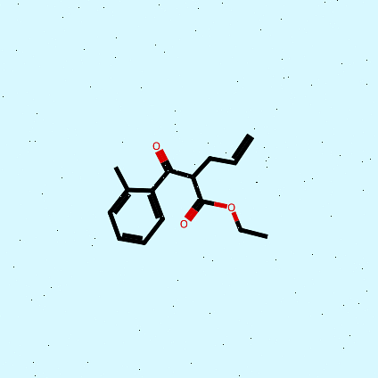 C=CCC(C(=O)OCC)C(=O)c1ccccc1C